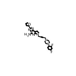 Nc1nc2c(ccn2CC#CCN2CCN(c3ccc(F)cc3F)CC2)c2nc(-c3ccco3)nn12